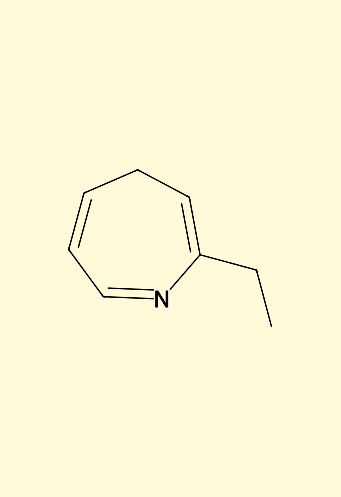 CCC1=CCC=CC=N1